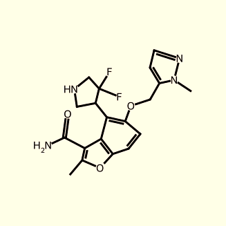 Cc1oc2ccc(OCc3ccnn3C)c(C3CNCC3(F)F)c2c1C(N)=O